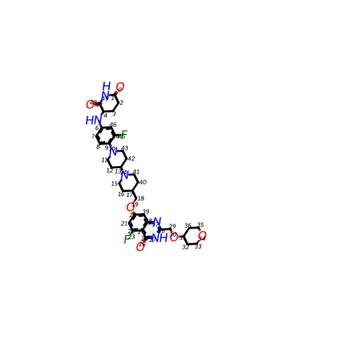 O=C1CCC(Nc2ccc(N3CCC(N4CCC(COc5cc(F)c6c(=O)[nH]c(COC7CCOCC7)nc6c5)CC4)CC3)c(F)c2)C(=O)N1